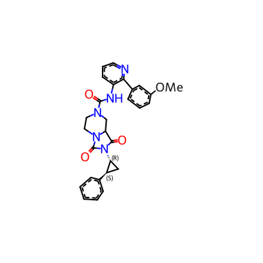 COc1cccc(-c2ncccc2NC(=O)N2CCN3C(=O)N([C@@H]4C[C@H]4c4ccccc4)C(=O)C3C2)c1